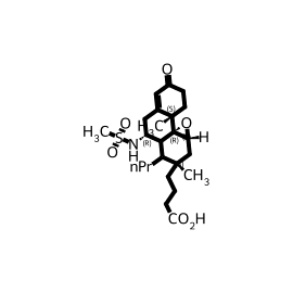 CCCC1C2[C@H](NS(C)(=O)=O)CC3=CC(=O)CC[C@]3(C)[C@]23O[C@@H]3C[C@]1(C)CCCC(=O)O